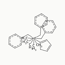 [CH3][Hf]([CH3])([CH3])([CH3])([CH3])([CH2]c1ccccc1)([CH2]c1ccccc1)([CH2]c1ccccc1)[C]1=CC=CC1